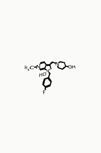 CN1C=CC2=C(CN3CCC(O)CC3)C[N+](O)(Cc3ccc(F)cc3)C2=C1